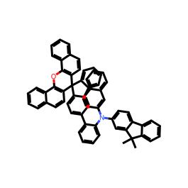 CC1(C)c2ccccc2-c2ccc(N(c3ccc4ccccc4c3)c3ccccc3-c3ccc4c(c3)-c3ccccc3C43c4ccc5ccccc5c4Oc4c3ccc3ccccc43)cc21